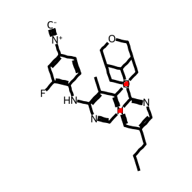 [C-]#[N+]c1ccc(Nc2ncnc(OC3C4COCC3CN(c3ncc(CCC)cn3)C4)c2C)c(F)c1